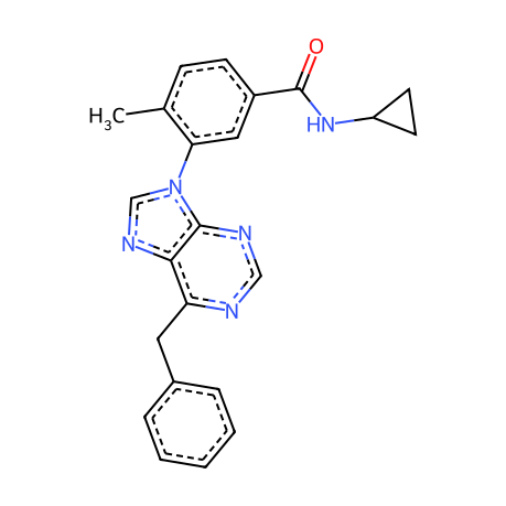 Cc1ccc(C(=O)NC2CC2)cc1-n1cnc2c(Cc3ccccc3)ncnc21